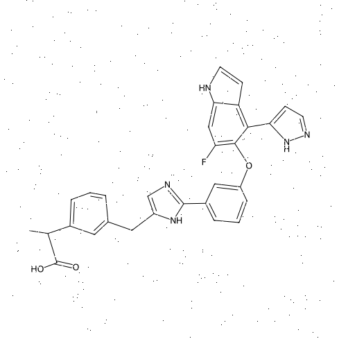 CC(C(=O)O)c1cccc(Cc2cnc(-c3cccc(Oc4c(F)cc5[nH]ccc5c4-c4ccn[nH]4)c3)[nH]2)c1